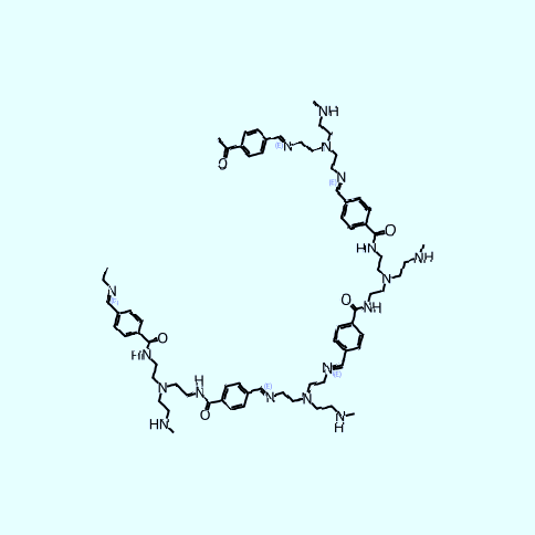 CC/N=C/c1ccc(C(=O)NCCN(CCNC)CCNC(=O)c2ccc(/C=N/CCN(CC/N=C/c3ccc(C(=O)NCCN(CCNC)CCNC(=O)c4ccc(/C=N/CCN(CC/N=C/c5ccc(C(C)=O)cc5)CCNC)cc4)cc3)CCNC)cc2)cc1